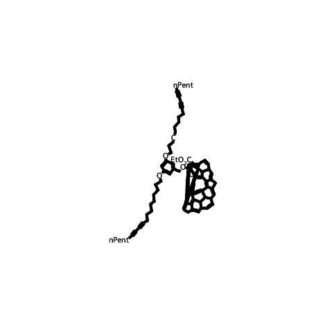 CCCCCC#CC#CCCCCCCCCCOc1cc(COC(=O)C2(C(=O)OCC)C34C=CC5C=C6CC7=CC8C=CC9C=C%10CC(=C3)c3c%10c%10c%11c(c7c6c6c%11c3C42C65)C8C%109)cc(OCCCCCCCCCC#CC#CCCCCC)c1